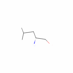 CCC(C)C[C@H](N)CO